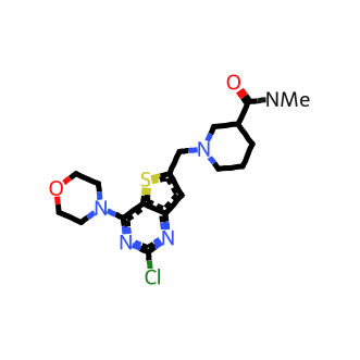 CNC(=O)C1CCCN(Cc2cc3nc(Cl)nc(N4CCOCC4)c3s2)C1